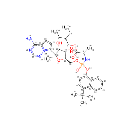 CCC(CC)COC(=O)[C@H](C)NP(=O)(OC[C@H]1O[C@@](C)(c2ccc3c(N)ncnn23)[C@H](O)[C@@H]1O)Oc1ccc(C(C)(C)C)c2ccccc12